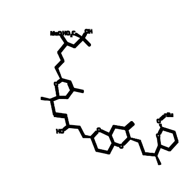 C=C1CC2O[C@H](CCC(O)/C=C/[C@@H](C)C3CC(C)=C[C@H](CCCC(C[C@@](C)(O)C(=O)O)OC)O3)CCC2O[C@@H]1CC[C@H](C)C1CCC[C@@H](OCCCC)O1